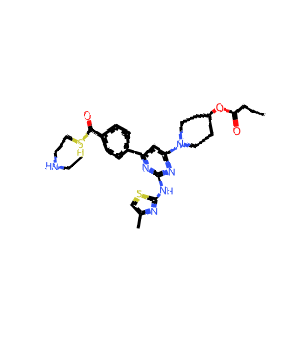 CCC(=O)OC1CCN(c2cc(-c3ccc(C(=O)[SH]4CCNCC4)cc3)nc(Nc3nc(C)cs3)n2)CC1